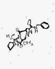 CCN1C(=O)c2cc(C(=O)NCc3ccccc3)nn2CC1(C)C(=O)NC1CCCC1